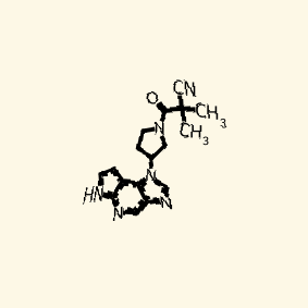 CC(C)(C#N)C(=O)N1CCC(n2cnc3cnc4[nH]ccc4c32)C1